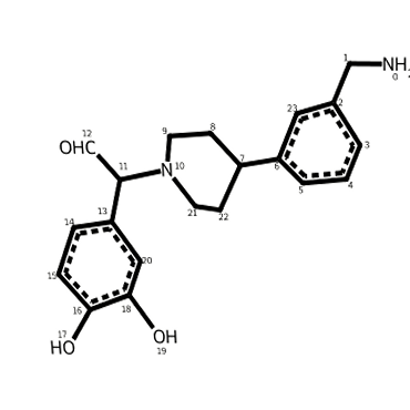 NCc1cccc(C2CCN(C(C=O)c3ccc(O)c(O)c3)CC2)c1